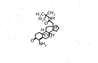 CC(C)(C)NC(=O)C[C@@]12CCC[C@H]1[C@@H]1CCC3=C(N)C(=O)CC[C@]3(C)[C@H]1CC2